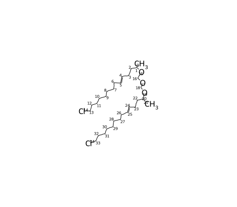 CC(CCC=CCCCCCCCCCl)OCOCOC(C)CCC=CCCCCCCCCCl